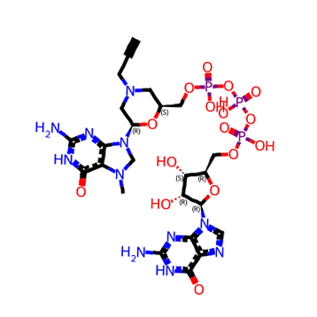 C#CCN1C[C@@H](COP(=O)(O)OP(=O)(O)OP(=O)(O)OC[C@H]2O[C@@H](n3cnc4c(=O)[nH]c(N)nc43)[C@H](O)[C@@H]2O)O[C@@H](N2CN(C)c3c2nc(N)[nH]c3=O)C1